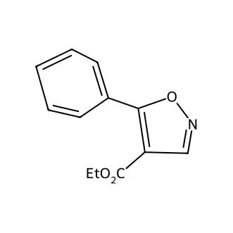 CCOC(=O)c1cnoc1-c1ccccc1